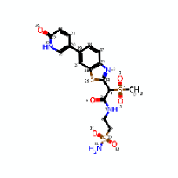 CS(=O)(=O)C(C(=O)NCCS(N)(=O)=O)c1nc2ccc(-c3ccc(=O)[nH]c3)cc2s1